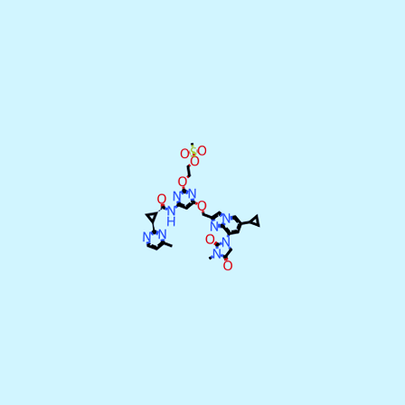 Cc1ccnc([C@H]2C[C@@H]2C(=O)Nc2cc(OCc3cn4cc(C5CC5)cc(N5CC(=O)N(C)C5=O)c4n3)nc(OCCOS(C)(=O)=O)n2)n1